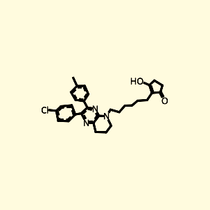 Cc1ccc(-c2nc3c(nc2-c2ccc(Cl)cc2)CCCN3CCCCCCC2=C(O)CCC2=O)cc1